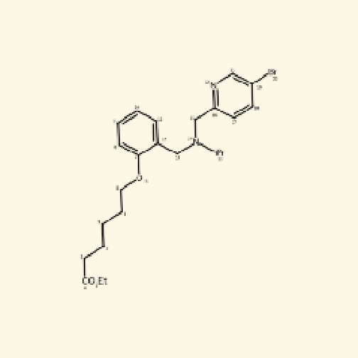 CCOC(=O)CCCCCOc1ccccc1CN(Cc1ccc(Br)cn1)C(C)C